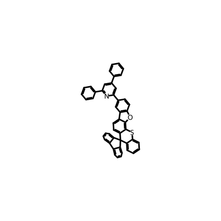 c1ccc(-c2cc(-c3ccccc3)nc(-c3ccc4oc5c6c(ccc5c4c3)C3(c4ccccc4S6)c4ccccc4-c4ccccc43)c2)cc1